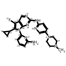 CN1CCN(c2ccc(Nc3ncc4c(F)c(C5CC5)n(-c5cccc(N)n5)c4n3)nc2)CC1